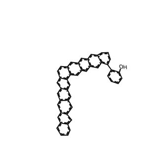 Oc1ccccc1-c1cccc2cc3cc4cc5ccc6cc7cc8cc9cc%10ccccc%10cc9cc8cc7cc6c5cc4cc3cc12